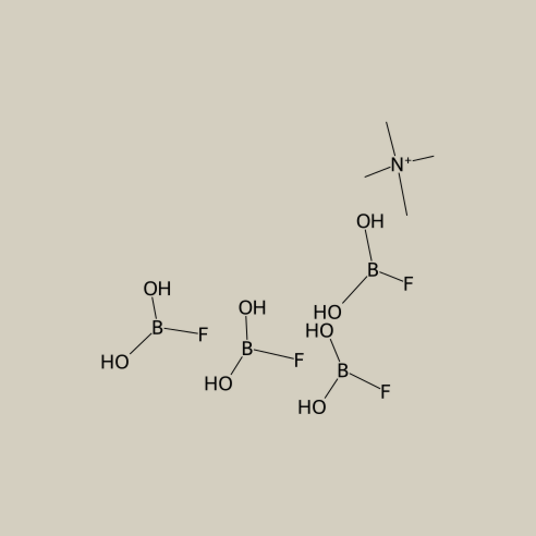 C[N+](C)(C)C.OB(O)F.OB(O)F.OB(O)F.OB(O)F